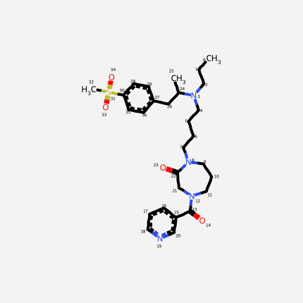 CCCN(CCCCN1CCCN(C(=O)c2cccnc2)CC1=O)C(C)Cc1ccc(S(C)(=O)=O)cc1